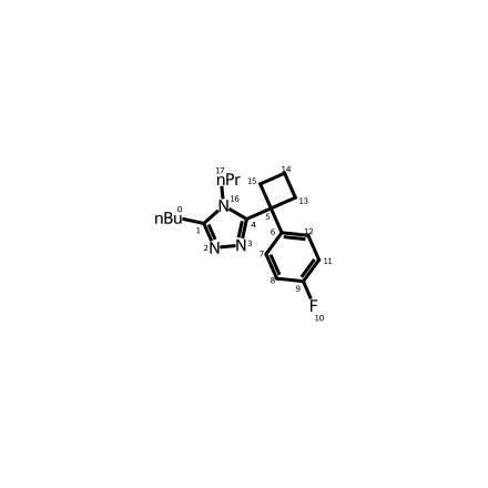 CCCCc1nnc(C2(c3ccc(F)cc3)CCC2)n1CCC